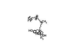 CN(CCCCC[C@@H]1Cc2cc(O)ccc2[C@H]2CC[C@]3(C)[C@@H](O)CC[C@H]3[C@H]12)CCCCS(=O)(=O)CCCC(F)(F)C(F)(F)F